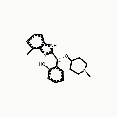 Cc1cccc2[nH]c([C@H](OC3CCN(C)CC3)c3ccccc3O)nc12